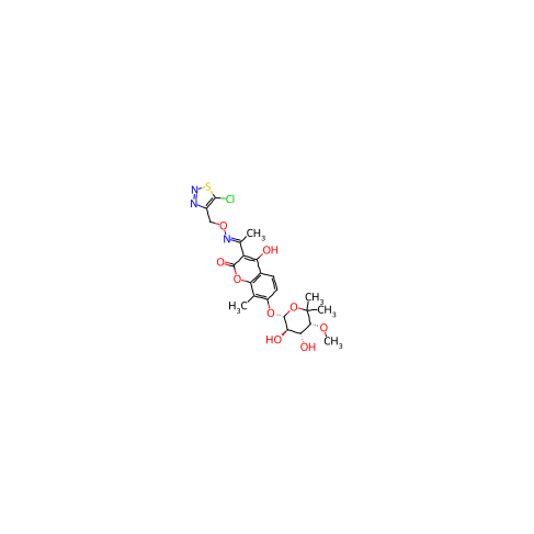 CO[C@@H]1[C@H](O)[C@@H](O)[C@H](Oc2ccc3c(O)c(C(C)=NOCc4nnsc4Cl)c(=O)oc3c2C)OC1(C)C